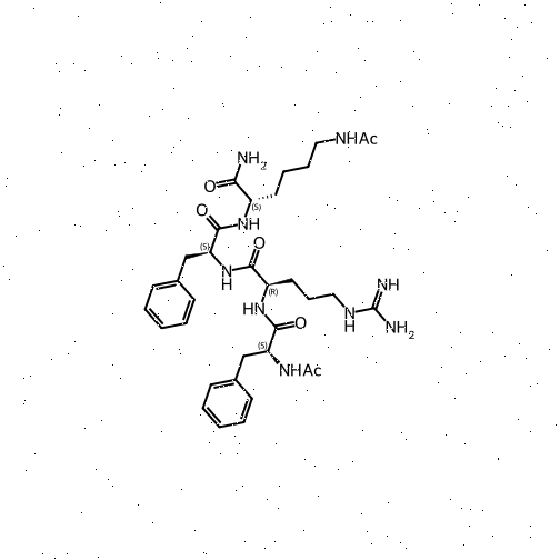 CC(=O)NCCCC[C@H](NC(=O)[C@H](Cc1ccccc1)NC(=O)[C@@H](CCCNC(=N)N)NC(=O)[C@H](Cc1ccccc1)NC(C)=O)C(N)=O